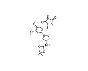 COc1cc(C=C2SC(=O)NC2=O)c(N2CCC(NC(=O)OC(C)(C)C)C2)cc1OC